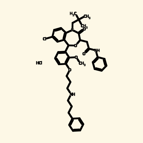 COc1c(OCCCNCCCc2ccccc2)cccc1C1OC(CC(=O)Nc2ccccc2)C(=O)N(CC(C)(C)C)c2ccc(Cl)cc21.Cl